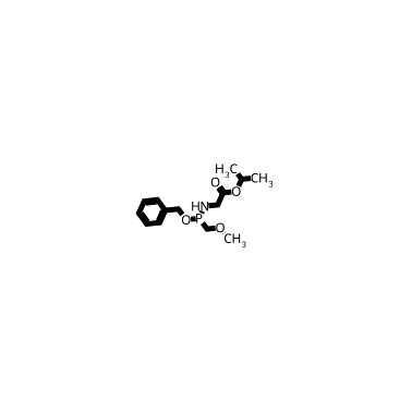 COCP(NCC(=O)OC(C)C)OCc1ccccc1